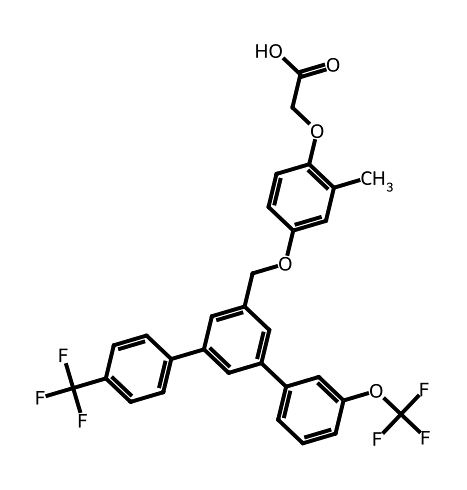 Cc1cc(OCc2cc(-c3ccc(C(F)(F)F)cc3)cc(-c3cccc(OC(F)(F)F)c3)c2)ccc1OCC(=O)O